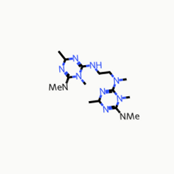 CNC1=NC(C)N=C(NCCN(C)C2=NC(C)N=C(NC)N2C)N1C